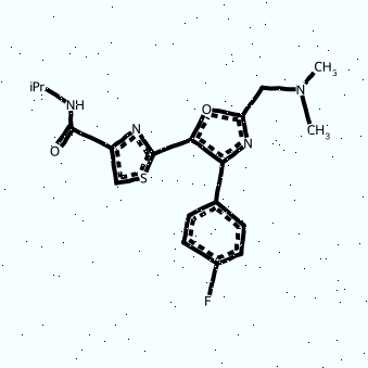 CC(C)NC(=O)c1csc(-c2oc(CN(C)C)nc2-c2ccc(F)cc2)n1